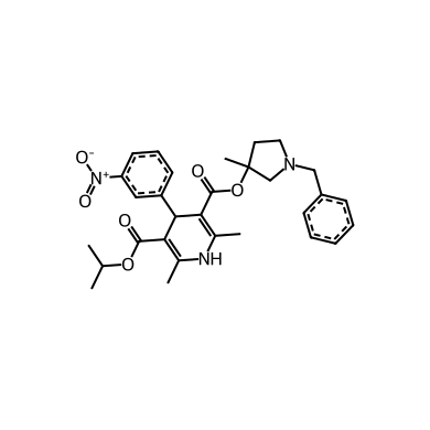 CC1=C(C(=O)OC(C)C)C(c2cccc([N+](=O)[O-])c2)C(C(=O)OC2(C)CCN(Cc3ccccc3)C2)=C(C)N1